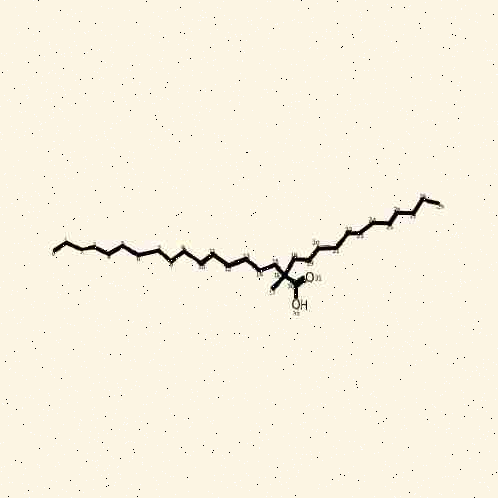 CCCCCCCCCCCCCCCCC(C)(CCCCCCCCCCCC)C(=O)O